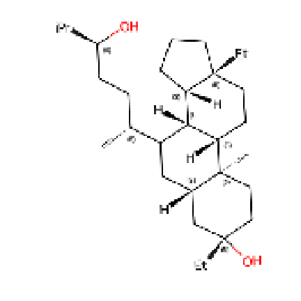 CC[C@]1(O)CC[C@@]2(C)[C@@H](CC([C@H](C)CC[C@H](O)C(C)C)[C@@H]3[C@@H]4CCC[C@]4(CC)CC[C@@H]32)C1